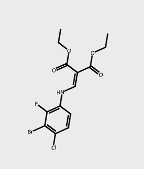 CCOC(=O)C(=CNc1ccc(Cl)c(Br)c1F)C(=O)OCC